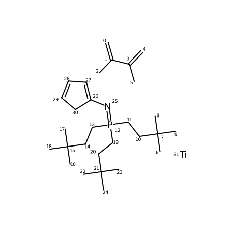 C=C(C)C(=C)C.CC(C)(C)CCP(CCC(C)(C)C)(CCC(C)(C)C)=NC1=CC=CC1.[Ti]